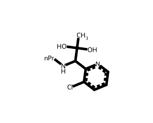 CCCNC(c1ncccc1Cl)C(C)(O)O